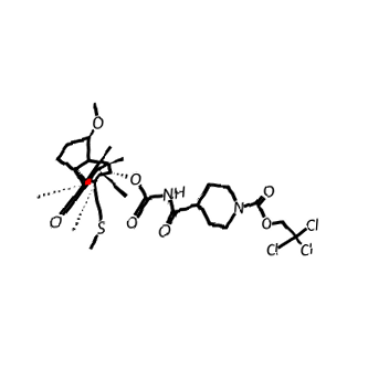 CO[C@@H]1CCC23CC[C@@H](C)[C@](C)(C12)[C@H](OC(=O)NC(=O)C1CCN(C(=O)OCC(Cl)(Cl)Cl)CC1)C[C@@](C)(SC)C(=O)[C@@H]3C